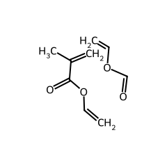 C=COC(=O)C(=C)C.C=COC=O